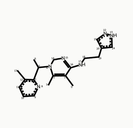 CC1=C(C)N(C(C)c2ncccc2C)CN=C1NCCc1cn[nH]c1